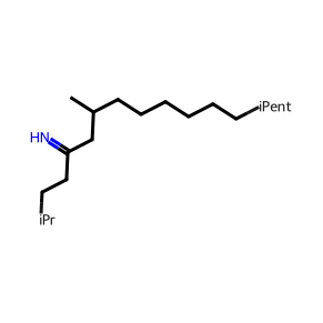 CCCC(C)CCCCCCC(C)CC(=N)CCC(C)C